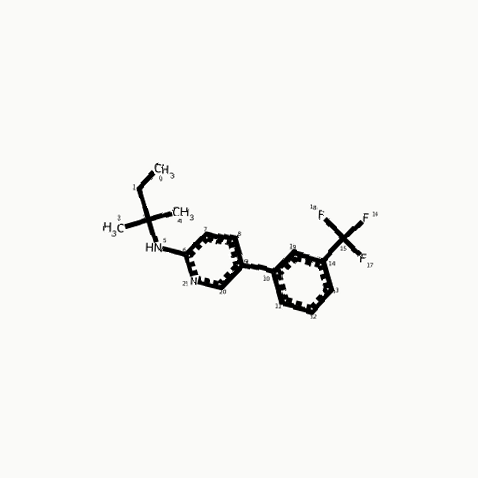 CCC(C)(C)Nc1ccc(-c2cccc(C(F)(F)F)c2)cn1